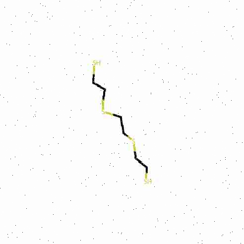 SCCSCCSCCS